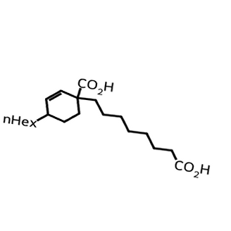 CCCCCCC1C=CC(CCCCCCCC(=O)O)(C(=O)O)CC1